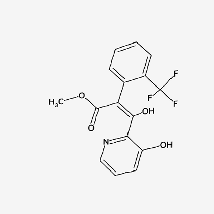 COC(=O)/C(=C(/O)c1ncccc1O)c1ccccc1C(F)(F)F